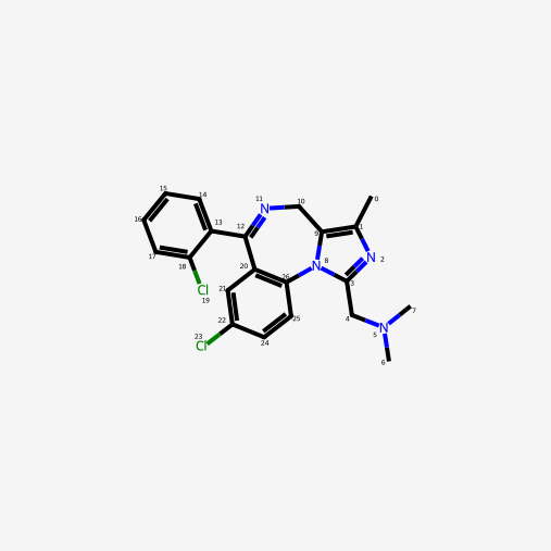 Cc1nc(CN(C)C)n2c1CN=C(c1ccccc1Cl)c1cc(Cl)ccc1-2